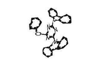 c1ccc(Oc2nc(-n3c4ccccc4c4ccccc43)nc(-n3c4ccccc4c4ccccc43)n2)cc1